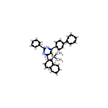 C[Si]1(C)c2c(-c3ccc(-c4ccccc4)cc3)nc(-c3ccccc3)nc2-c2ccc3ccccc3c21